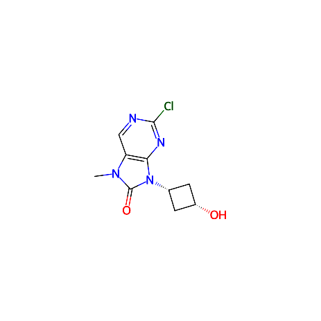 Cn1c(=O)n([C@H]2C[C@@H](O)C2)c2nc(Cl)ncc21